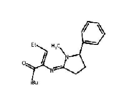 CC/C=C(/N=C1/CCC(c2ccccc2)N1C)C(=O)C(C)CC